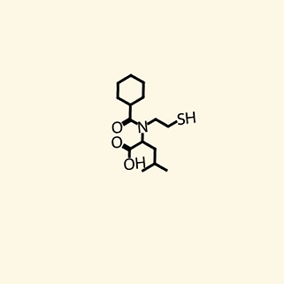 CC(C)CC(C(=O)O)N(CCS)C(=O)C1CCCCC1